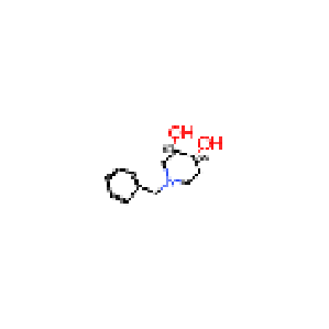 O[C@@H]1CCN(Cc2ccccc2)C[C@@H]1O